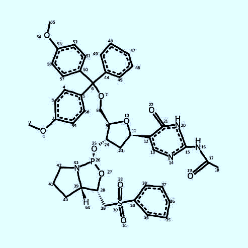 COc1ccc(C(OC[C@H]2O[C@@H](c3cnc(NC(C)=O)[nH]c3=O)C[C@@H]2O[P@]2O[C@H](CS(=O)(=O)c3ccccc3)[C@@H]3CCCN32)(c2ccccc2)c2ccc(OC)cc2)cc1